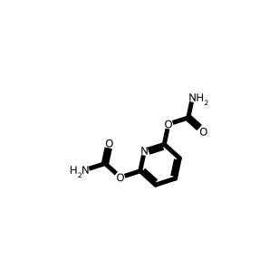 NC(=O)Oc1cccc(OC(N)=O)n1